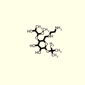 COC(OC1C(CNCCN)OC(OC(C)(C)C)C(O)C1O)C(C)O